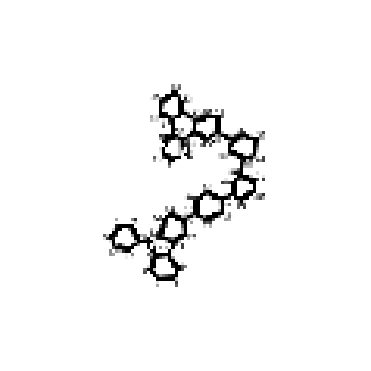 c1ccc(-n2c3ccccc3c3cc(-c4ccc(-c5cccc(-c6cccc(-c7ccc8c9ccccc9c9nccnc9c8c7)c6)c5)cc4)ccc32)cc1